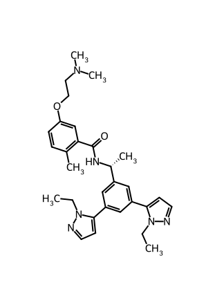 CCn1nccc1-c1cc(-c2ccnn2CC)cc([C@@H](C)NC(=O)c2cc(OCCN(C)C)ccc2C)c1